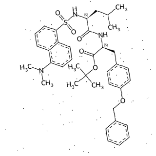 CC(C)C[C@H](NS(=O)(=O)c1cccc2c(N(C)C)cccc12)C(=O)N[C@@H](Cc1ccc(OCc2ccccc2)cc1)C(=O)OC(C)(C)C